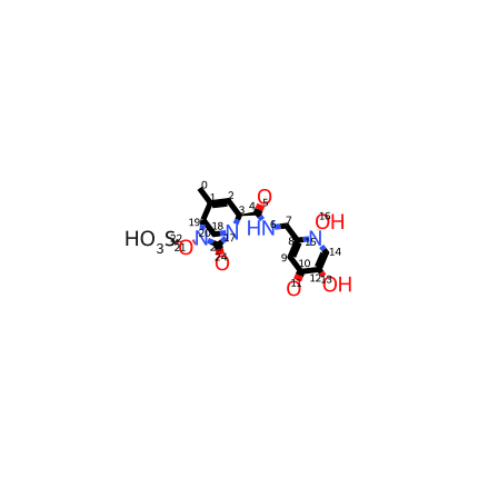 CC1=C[C@@H](C(=O)NCc2cc(=O)c(O)cn2O)N2CC1N(OS(=O)(=O)O)C2=O